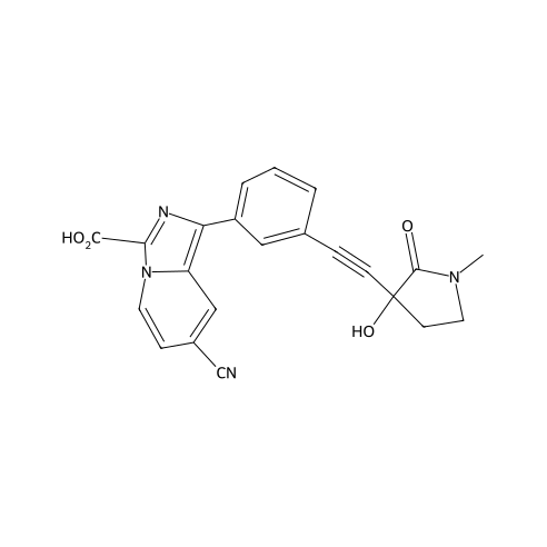 CN1CCC(O)(C#Cc2cccc(-c3nc(C(=O)O)n4ccc(C#N)cc34)c2)C1=O